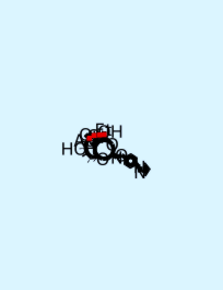 CC[C@H]1OC(=O)[C@H](C)[C@@H](O)[C@H](C)[C@@H](C)[C@@]2(C)C[C@@H](C)/C(=N\C(C)=O)[C@H](C)C(OC/C(=N\Oc3ccc(-n4cccn4)cc3)CO2)[C@]1(C)O